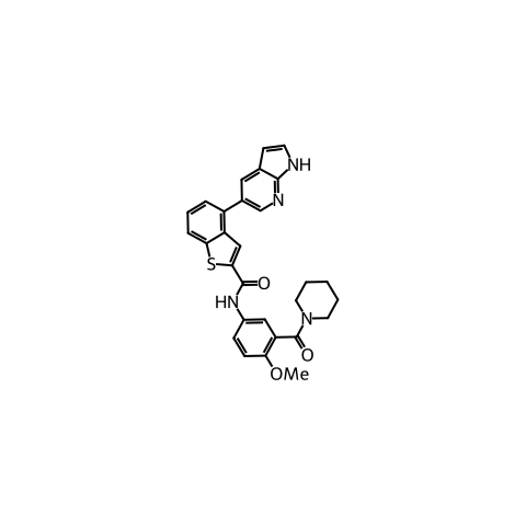 COc1ccc(NC(=O)c2cc3c(-c4cnc5[nH]ccc5c4)cccc3s2)cc1C(=O)N1CCCCC1